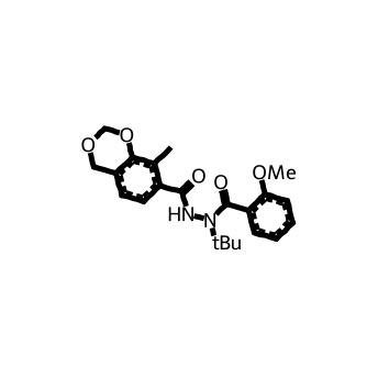 COc1ccccc1C(=O)N(NC(=O)c1ccc2c(c1C)OCOC2)C(C)(C)C